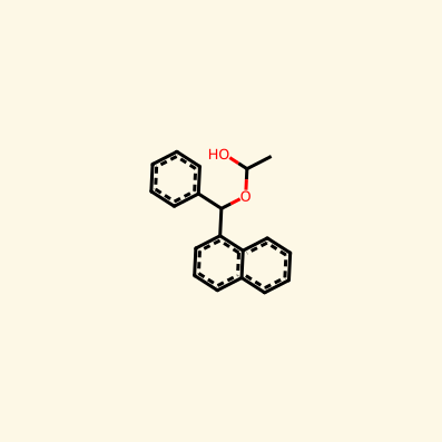 CC(O)OC(c1ccccc1)c1cccc2ccccc12